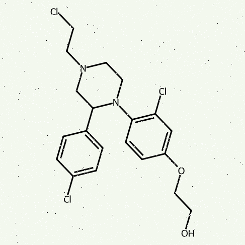 OCCOc1ccc(N2CCN(CCCl)CC2c2ccc(Cl)cc2)c(Cl)c1